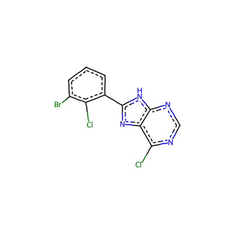 Clc1c(Br)cccc1-c1nc2c(Cl)ncnc2[nH]1